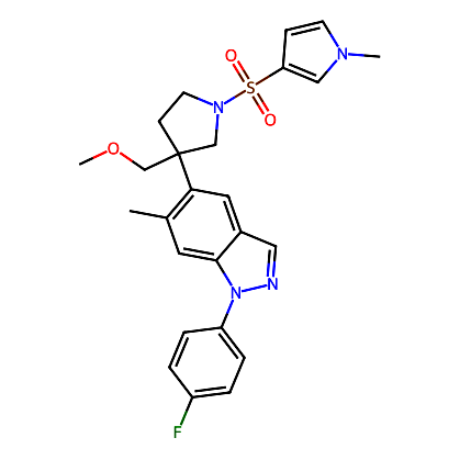 COCC1(c2cc3cnn(-c4ccc(F)cc4)c3cc2C)CCN(S(=O)(=O)c2ccn(C)c2)C1